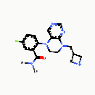 CCN(C(=O)c1cc(F)ccc1N1CCN(CC2CNC2)c2ncncc21)C(C)C